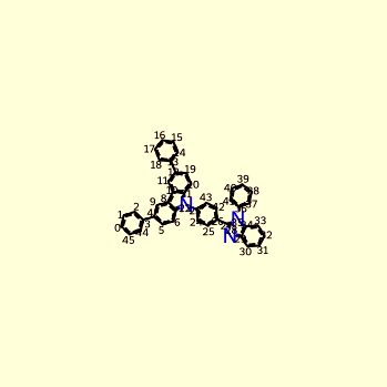 c1ccc(-c2ccc3c(c2)c2cc(-c4ccccc4)ccc2n3-c2ccc(-c3nc4ccccc4n3-c3ccccc3)cc2)cc1